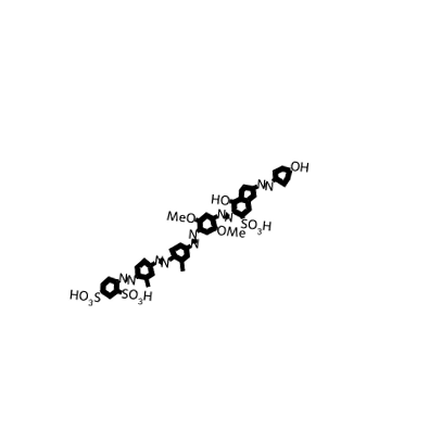 COc1cc(N=Nc2c(S(=O)(=O)O)cc3cc(N=Nc4ccc(O)cc4)ccc3c2O)c(OC)cc1N=Nc1ccc(N=Nc2ccc(N=Nc3ccc(S(=O)(=O)O)cc3S(=O)(=O)O)c(C)c2)c(C)c1